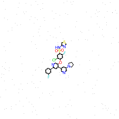 O=S(=O)(Nc1cscn1)c1cc(Cl)c(Oc2cnc(-c3cccc(F)c3)cc2-c2cncc(N3CCCC3)c2)cc1F